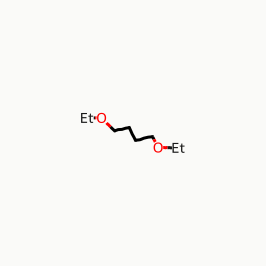 [CH2]COCCCCOC[CH2]